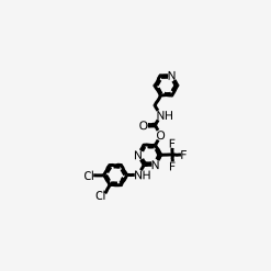 O=C(NCc1ccncc1)Oc1cnc(Nc2ccc(Cl)c(Cl)c2)nc1C(F)(F)F